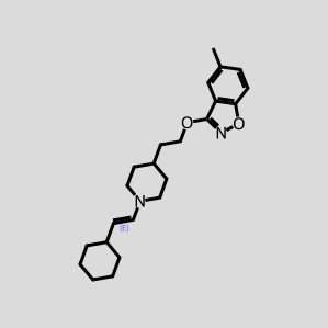 Cc1ccc2onc(OCCC3CCN(/C=C/C4CCCCC4)CC3)c2c1